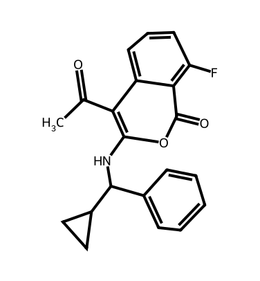 CC(=O)c1c(NC(c2ccccc2)C2CC2)oc(=O)c2c(F)cccc12